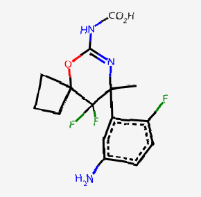 CC1(c2cc(N)ccc2F)N=C(NC(=O)O)OC2(CCC2)C1(F)F